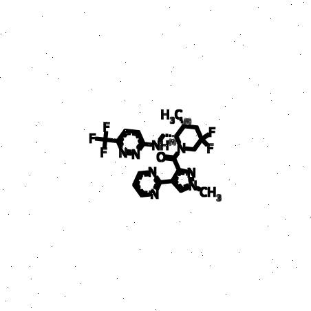 C[C@@H]1CC(F)(F)CN(C(=O)c2nn(C)cc2-c2ncccn2)[C@@H]1CNc1ccc(C(F)(F)F)nn1